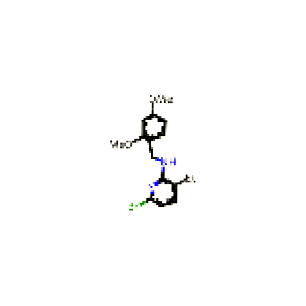 CCc1ccc(Br)nc1NCc1ccc(OC)cc1OC